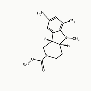 CN1c2c(cc(N)cc2C(F)(F)F)[C@H]2CN(C(=O)OC(C)(C)C)CC[C@H]21